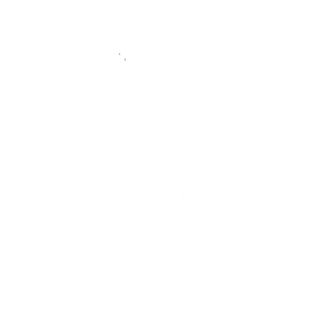 CN1CC2CC(c3cc4ccccc4o3)CC2C1